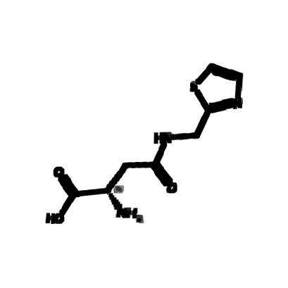 N[C@@H](CC(=O)NCc1nccs1)C(=O)O